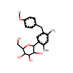 CCOc1ccc(Cc2cc(C3OC(CO)C(O)C(O)C3O)c(OC)cc2C)cc1